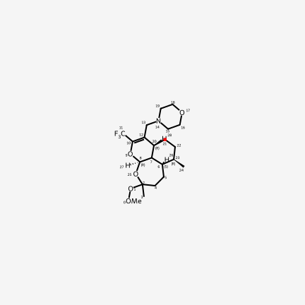 COOC1(C)CC[C@@H]2C3[C@H](OC(C(F)(F)F)=C(CN4CCOCC4)[C@@H]3CC[C@H]2C)O1